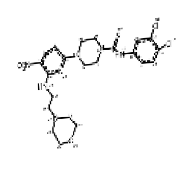 O=[N+]([O-])c1ccc(N2CCN(C(=S)Nc3ccc(Cl)c(Cl)c3)CC2)nc1NCCN1CCOCC1